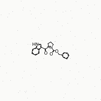 O=C(c1c[nH]c2ccccc12)[C@H]1CCCN1C(=O)OCc1ccccc1